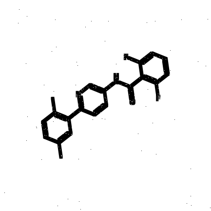 Cc1ccc(C)c(-c2ccc(NC(=O)c3c(F)cccc3F)cn2)c1